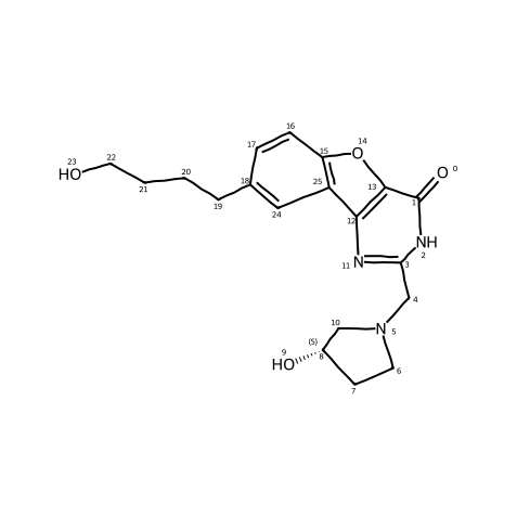 O=c1[nH]c(CN2CC[C@H](O)C2)nc2c1oc1ccc(CCCCO)cc12